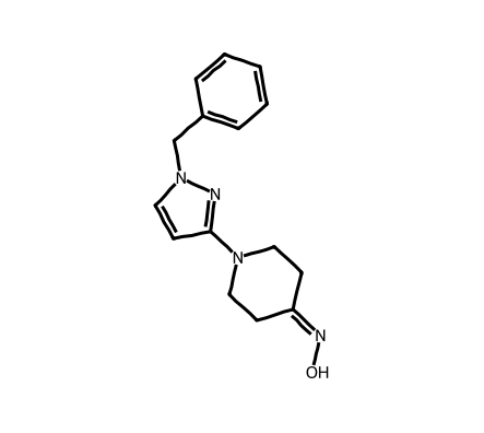 ON=C1CCN(c2ccn(Cc3ccccc3)n2)CC1